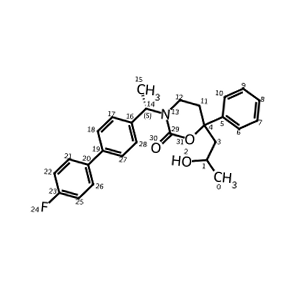 CC(O)CC1(c2ccccc2)CCN([C@@H](C)c2ccc(-c3ccc(F)cc3)cc2)C(=O)O1